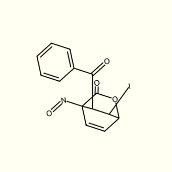 O=NC12C=CC(OC1=O)C(I)C2C(=O)c1ccccc1